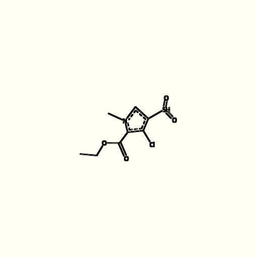 CCOC(=O)c1c(Cl)c([SH](=O)=O)cn1C